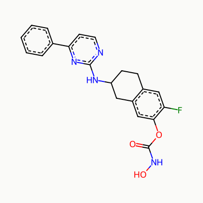 O=C(NO)Oc1cc2c(cc1F)CCC(Nc1nccc(-c3ccccc3)n1)C2